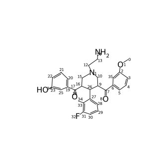 COc1cccc(C(=O)C2CN(CCN)CC(C(=O)c3cccc(O)c3)C2c2cccc(F)c2C)c1